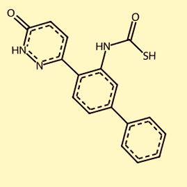 O=C(S)Nc1cc(-c2ccccc2)ccc1-c1ccc(=O)[nH]n1